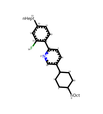 CCCCCCCCC1CCC(c2ccc(-c3ccc(CCCCCCC)cc3F)nc2)CC1